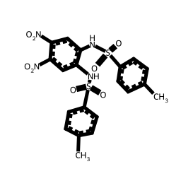 Cc1ccc(S(=O)(=O)Nc2cc([N+](=O)[O-])c([N+](=O)[O-])cc2NS(=O)(=O)c2ccc(C)cc2)cc1